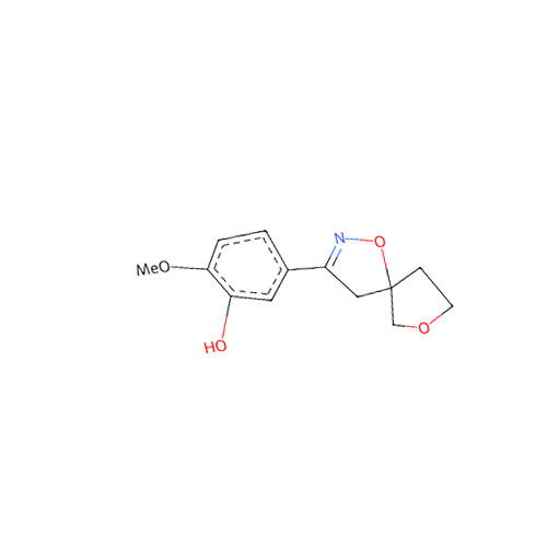 COc1ccc(C2=NOC3(CCOC3)C2)cc1O